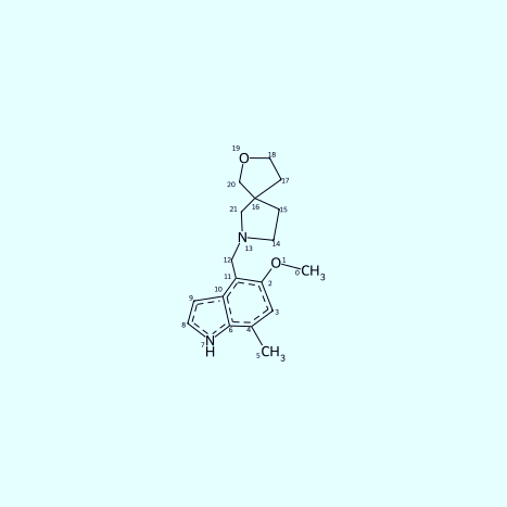 COc1cc(C)c2[nH]ccc2c1CN1CCC2(CCOC2)C1